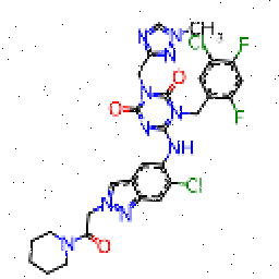 Cn1cnc(Cn2c(=O)nc(Nc3cc4cn(CC(=O)N5CCCCC5)nc4cc3Cl)n(Cc3cc(Cl)c(F)cc3F)c2=O)n1